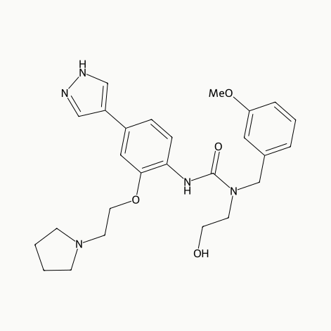 COc1cccc(CN(CCO)C(=O)Nc2ccc(-c3cn[nH]c3)cc2OCCN2CCCC2)c1